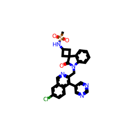 CS(=O)(=O)NC1CC2(C1)C(=O)N(Cc1ncc3cc(Cl)ccc3c1-c1cncnc1)c1ccccc12